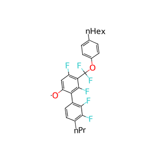 CCCCCCc1ccc(OC(F)(F)c2c(F)cc([O])c(-c3ccc(CCC)c(F)c3F)c2F)cc1